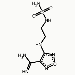 N=C(N)c1nonc1NCCNS(N)(=O)=O